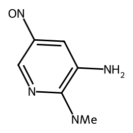 CNc1ncc(N=O)cc1N